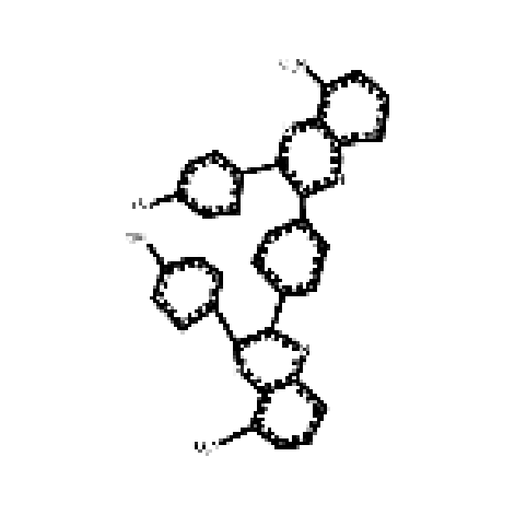 CC(C)(C)c1ccc(-c2nc3c([N+](=O)[O-])cccc3nc2-c2ccc(-c3nc4cccc([N+](=O)[O-])c4nc3-c3ccc(C(C)(C)C)cc3)cc2)cc1